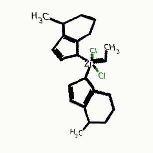 C[CH]=[Zr]([Cl])([Cl])([CH]1C=CC2=C1CCCC2C)[CH]1C=CC2=C1CCCC2C